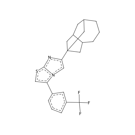 FC(F)(F)c1cccc(-c2csc3nc(C45CC6CCCC(C4)C(C6)C5)cn23)c1